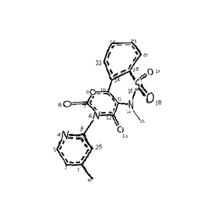 Cc1ccnc(-n2c(=O)oc3c(c2=O)N(C)S(=O)(=O)c2ccccc2-3)c1